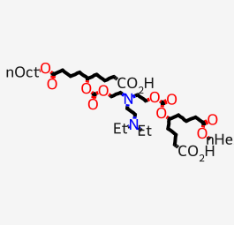 CCCCCCCCOC(=O)CCCC(CCCC(=O)O)OC(=O)OCCN(CCOC(=O)OC(CCCC(=O)O)CCCC(=O)OCCCCCC)CCN(CC)CC